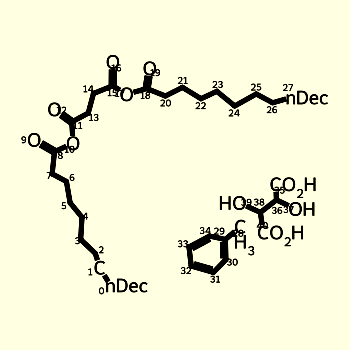 CCCCCCCCCCCCCCCCCC(=O)OC(=O)CCC(=O)OC(=O)CCCCCCCCCCCCCCCCC.Cc1ccccc1.O=C(O)C(O)C(O)C(=O)O